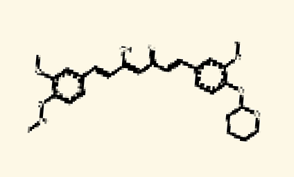 COc1cc(/C=C/C(O)=C/C(=O)/C=C/c2ccc(OC3CCCCO3)c(OC)c2)ccc1OPI